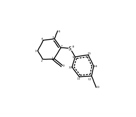 C=C1CCCC(C)=C1Sc1ccc(C)cc1